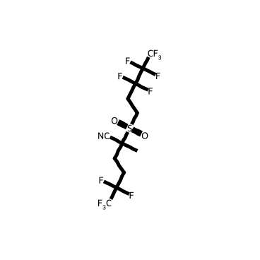 CC(C#N)(CCC(F)(F)C(F)(F)F)S(=O)(=O)CCC(F)(F)C(F)(F)C(F)(F)F